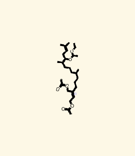 CCOC(C)OC(CC=C(C)C)C(C)CCCC(C)CCC/C(=C/COC(C)=O)COC(C)=O